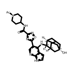 CC(=O)N1CCC(NC(=O)c2noc(-c3cnc4[nH]ccc4c3N[C@H]3[C@@H]4CC5C[C@H]3C[C@@](O)(C5)C4)n2)CC1